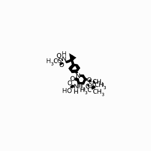 CC(C)(C)[Si](C)(C)OC1CC(NC(=O)O)C(=O)N(c2ccc(C3(CNS(C)(=O)=O)CC3)cc2)C1